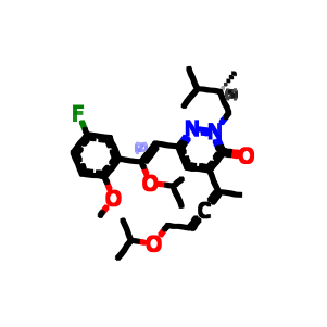 COc1ccc(F)cc1/C(=C/c1cc(C(C)=C=CCOC(C)C)c(=O)n(C[C@@H](C)C(C)C)n1)OC(C)C